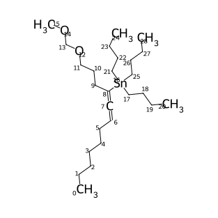 CCCCCCC=C=[C](CCCOCOC)[Sn]([CH2]CCC)([CH2]CCC)[CH2]CCC